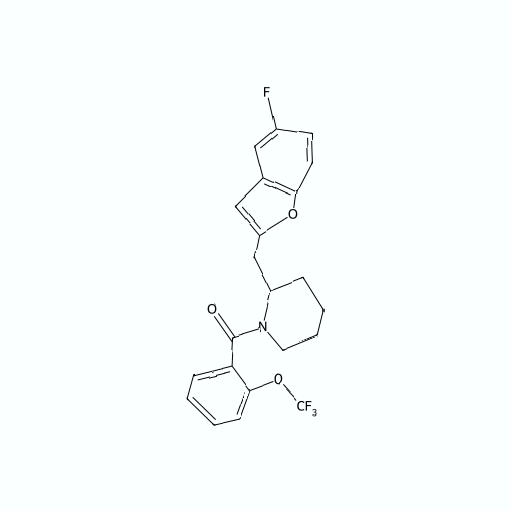 O=C(c1ccccc1OC(F)(F)F)N1CCCCC1Cc1cc2cc(F)ccc2o1